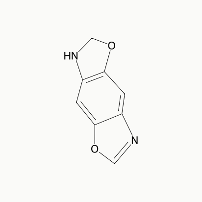 c1nc2cc3c(cc2o1)NCO3